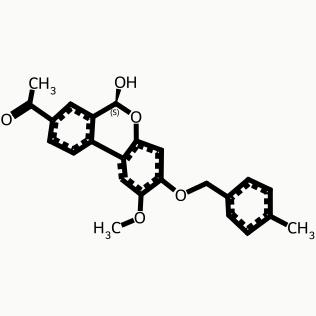 COc1cc2c(cc1OCc1ccc(C)cc1)O[C@H](O)c1cc(C(C)=O)ccc1-2